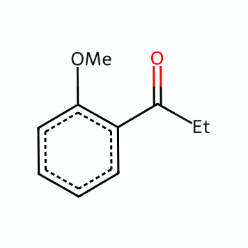 [CH2]CC(=O)c1ccccc1OC